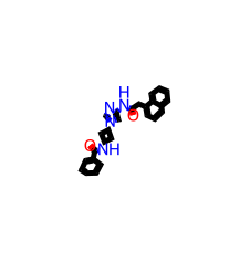 O=C(Cc1cccc2ccccc12)Nc1cn([C@H]2C[C@@H](NC(=O)c3ccccc3)C2)cn1